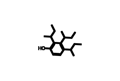 CCC(C)c1ccc(O)c(C(C)CC)c1C(C)CC